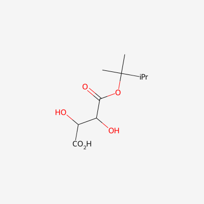 CC(C)C(C)(C)OC(=O)C(O)C(O)C(=O)O